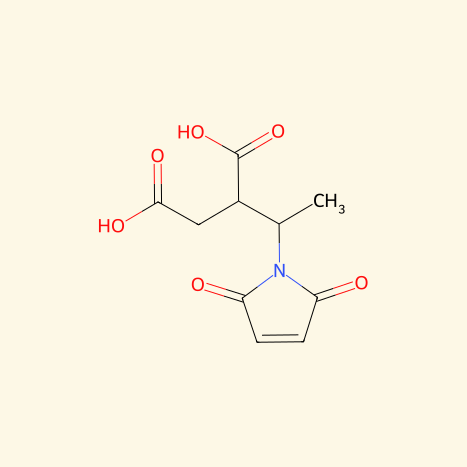 CC(C(CC(=O)O)C(=O)O)N1C(=O)C=CC1=O